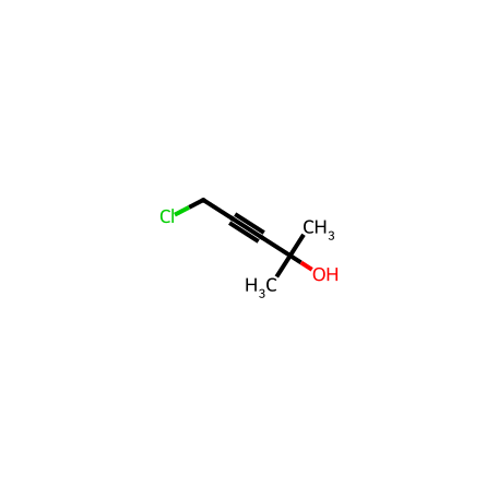 CC(C)(O)C#CCCl